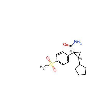 CS(=O)(=O)c1ccc([C@@]2(C(N)=O)C[C@H]2C2CCCC2)cc1